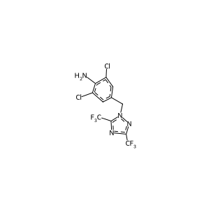 Nc1c(Cl)cc(Cn2nc(C(F)(F)F)nc2C(F)(F)F)cc1Cl